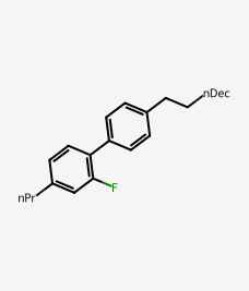 CCCCCCCCCCCCc1ccc(-c2ccc(CCC)cc2F)cc1